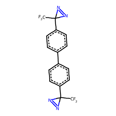 FC(F)(F)C1(c2ccc(-c3ccc(C4(C(F)(F)F)N=N4)cc3)cc2)N=N1